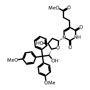 COC(=O)CCc1cn([C@H]2C[C@H](O)[C@@H](C(O)C(c3ccccc3)(c3ccc(OC)cc3)c3ccc(OC)cc3)O2)c(=O)[nH]c1=O